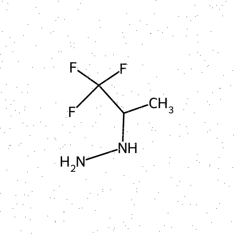 CC(NN)C(F)(F)F